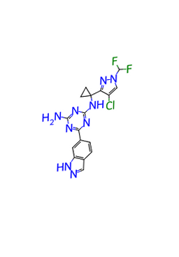 Nc1nc(NC2(c3nn(C(F)F)cc3Cl)CC2)nc(-c2ccc3cn[nH]c3c2)n1